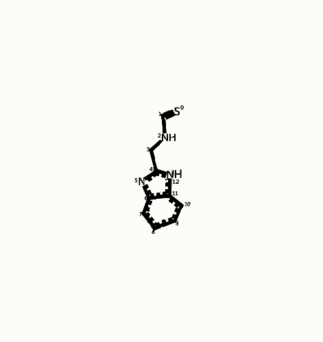 S=[C]NCc1nc2ccccc2[nH]1